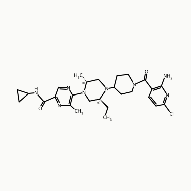 CC[C@H]1CN(c2ncc(C(=O)NC3CC3)nc2C)[C@H](C)CN1C1CCN(C(=O)c2ccc(Cl)nc2N)CC1